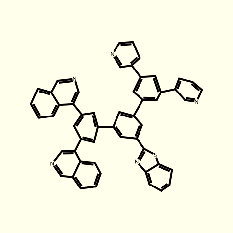 c1cncc(-c2cc(-c3cccnc3)cc(-c3cc(-c4cc(-c5cncc6ccccc56)cc(-c5cncc6ccccc56)c4)cc(-c4nc5ccccc5s4)c3)c2)c1